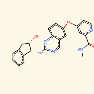 CNC(=O)c1cc(Oc2ccc3nc(N[C@@H]4c5ccccc5C[C@@H]4O)ncc3c2)ccn1